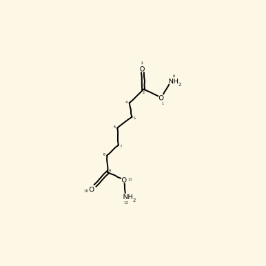 NOC(=O)CCCCCC(=O)ON